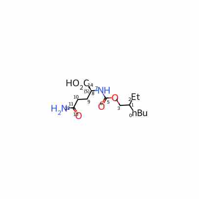 CCCCC(CC)COC(=O)N[C@@H](CCC(N)=O)C(=O)O